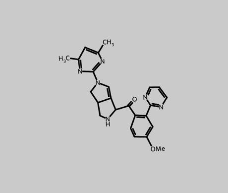 COc1ccc(C(=O)C2NCC3CN(c4nc(C)cc(C)n4)C=C32)c(-c2ncccn2)c1